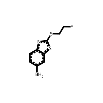 Bc1ccc2nc(SCCF)sc2c1